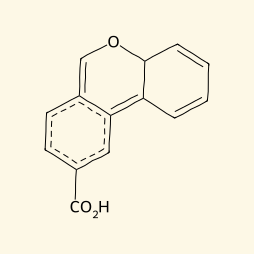 O=C(O)c1ccc2c(c1)=C1C=CC=CC1OC=2